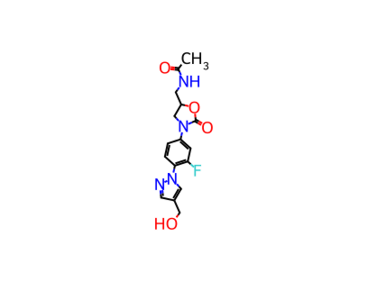 CC(=O)NCC1CN(c2ccc(-n3cc(CO)cn3)c(F)c2)C(=O)O1